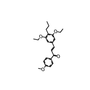 CCCc1c(OCC)cc(C=CC(=O)c2ccc(OC)cc2)cc1OCC